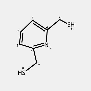 SCc1cccc(CS)n1